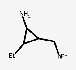 CCCCC1C(N)C1CC